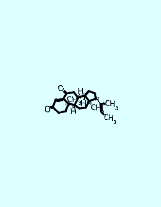 CC=C(C)[C@H]1CC[C@H]2[C@@H]3CC(=O)C4=CC(=O)CC[C@]4(C)[C@H]3CC[C@]12C